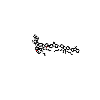 CCCCCCC(CC)C1(C(CC)CCCCC)c2cc(-c3ccc4c(c3)C(C)(C)c3ccccc3-4)ccc2-c2ccc(-c3ccc4c(c3)C(C)(C)c3cc(-c5ccc6c(c5)C(CC(CC)CCCC)(C(CC)CCCCC)c5c-6cc6c7c8c(ncc7n7c9c(c5c67)C5C6CC7CC(CC(C7)C5N=C9)C6)C5CC6CC8CC5C6)ccc3-4)cc21